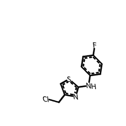 Fc1ccc(Nc2nc(CCl)cs2)cc1